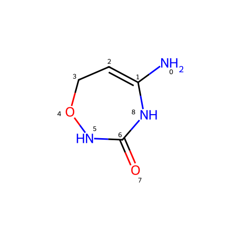 NC1=CCONC(=O)N1